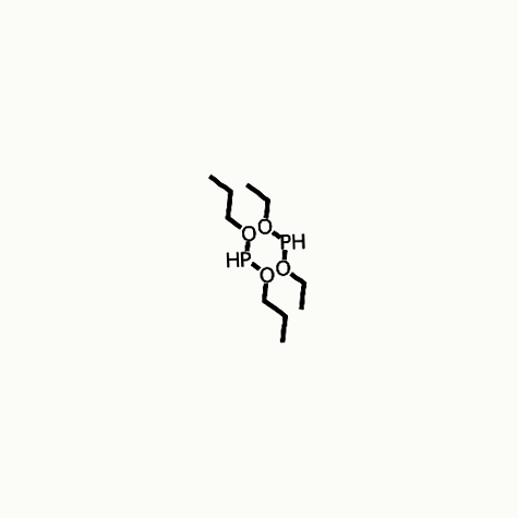 CCCOPOCCC.CCOPOCC